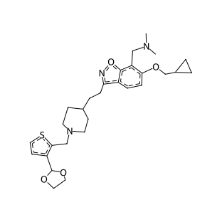 CN(C)Cc1c(OCC2CC2)ccc2c(CCC3CCN(Cc4sccc4C4OCCO4)CC3)noc12